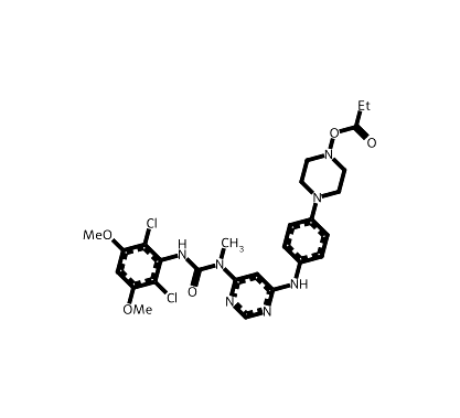 CCC(=O)ON1CCN(c2ccc(Nc3cc(N(C)C(=O)Nc4c(Cl)c(OC)cc(OC)c4Cl)ncn3)cc2)CC1